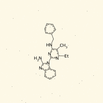 CCc1nc(-n2c(N)nc3ccccc32)nc(NCc2ccccc2)c1C